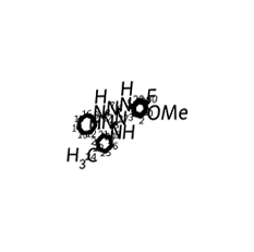 COc1ccc(NC2=NC(NC3CCCCCC3)NC(NC3CCC(C)CC3)=N2)cc1F